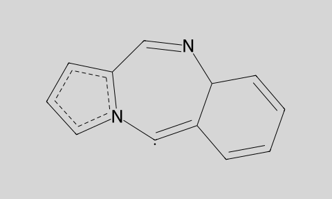 [C]1=C2C=CC=CC2N=Cc2cccn21